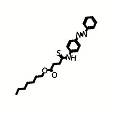 CCCCCCCOC(=O)CCC(=S)Nc1ccc(N=Nc2ccccc2)cc1